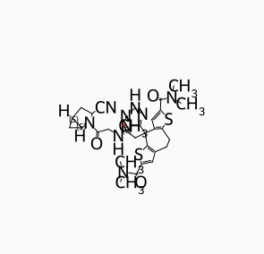 C[C@@H](CC1(c2nn[nH]n2)c2cc(C(=O)N(C)C)sc2CCc2cc(C(=O)N(C)C)sc21)NCC(=O)N1C(C#N)C[C@@H]2C[C@@H]21